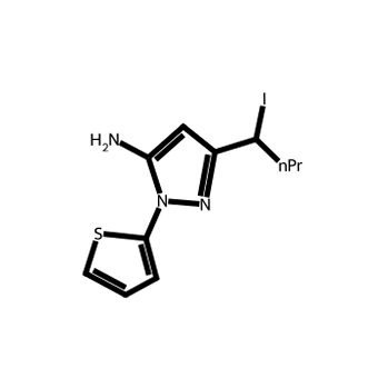 CCCC(I)c1cc(N)n(-c2cccs2)n1